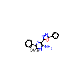 COc1ccccc1-c1cnc(N)c(-c2nnc(-c3ccccc3)o2)n1